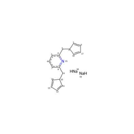 C1=CC(Cc2cccc(CC3C=CC=C3)n2)C=C1.[NaH].[NaH]